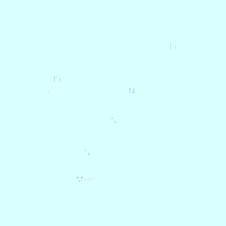 CCOc1ccc(-c2nc(OC)ccc2N2CCCN(c3ccc(Br)cc3)CC2)cc1